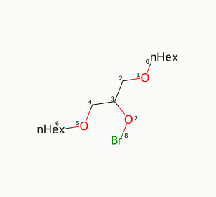 CCCCCCOCC(COCCCCCC)OBr